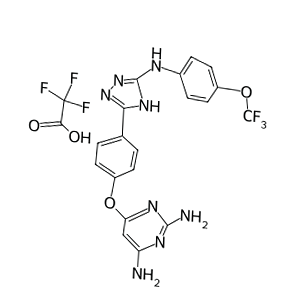 Nc1cc(Oc2ccc(-c3nnc(Nc4ccc(OC(F)(F)F)cc4)[nH]3)cc2)nc(N)n1.O=C(O)C(F)(F)F